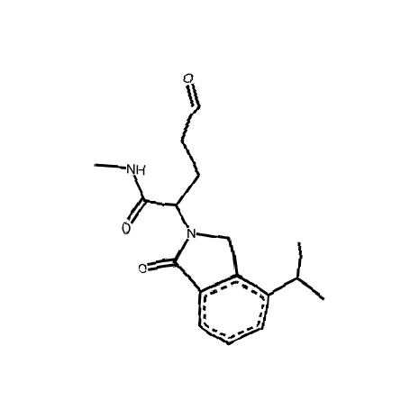 CNC(=O)C(CCC=O)N1Cc2c(cccc2C(C)C)C1=O